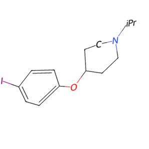 CC(C)N1CCC(Oc2ccc(I)cc2)CC1